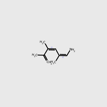 C=C(C)/C(C)=C\C(C)=C/N